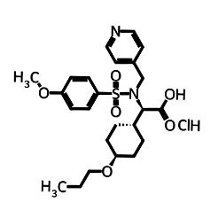 CCCO[C@H]1CC[C@H]([C@H](C(=O)O)N(Cc2ccncc2)S(=O)(=O)c2ccc(OC)cc2)CC1.Cl